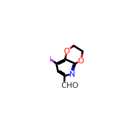 O=Cc1cc(I)c2c(n1)OCCO2